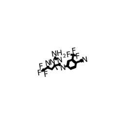 C[C@@]12CC(C(F)(F)F)=NN1C(N)=NC2=Nc1ccc(C#N)c(C(F)(F)F)c1